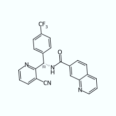 N#Cc1cccnc1[C@@H](NC(=O)c1ccc2cccnc2c1)c1ccc(C(F)(F)F)cc1